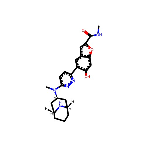 CNC(=O)c1cc2cc(-c3ccc(N(C)[C@@H]4C[C@H]5CCC[C@@H](C4)N5)nn3)c(O)cc2o1